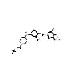 Cc1cc(-c2nc3ccc(N(C)C4CCN(C(=O)OC(C)(C)C)CC4)cc3c(=O)[nH]2)cc2cn(C)nc12